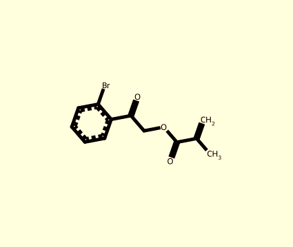 C=C(C)C(=O)OCC(=O)c1ccccc1Br